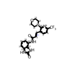 O=C(/C=C/c1ccc(C(F)(F)F)nc1N1CCOCC1)Nc1cccc2[nH]c(=O)[nH]c12